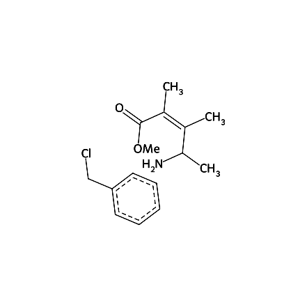 COC(=O)C(C)=C(C)C(C)N.ClCc1ccccc1